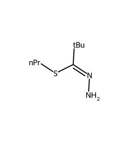 CCCS/C(=N\N)C(C)(C)C